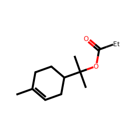 CCC(=O)OC(C)(C)C1CC=C(C)CC1